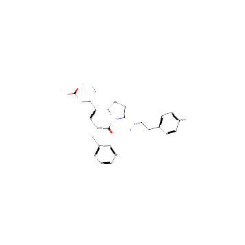 CC(C)C[C@@H](/C=C/[C@H](Cc1ccccc1)C(=O)N1CCC[C@H]1N(C=O)[C@@H](Cc1ccc(O)cc1)C(=O)O)NC(=O)OC(C)(C)C